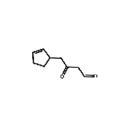 O=CCC(=O)CC1C=CCC1